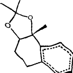 CC1(C)OC2CCc3ccccc3[C@@]2(C)O1